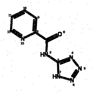 O=C(Nc1nnn[nH]1)c1ccccn1